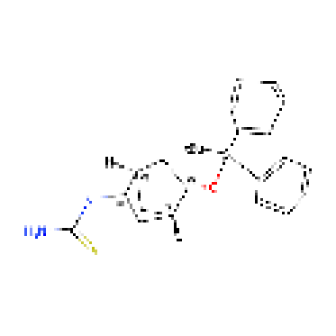 CC(C)(C)[Si](O[C@H]1C[C@H]2C[C@H]1C[C@@H]2NC(N)=S)(c1ccccc1)c1ccccc1